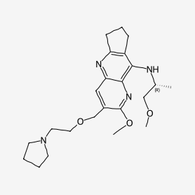 COC[C@@H](C)Nc1c2c(nc3cc(COCCN4CCCC4)c(OC)nc13)CCC2